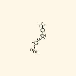 Cc1cc(OCc2sc(-c3ccc(C(F)(F)F)cc3)nc2C)ccc1C=CC(=O)O